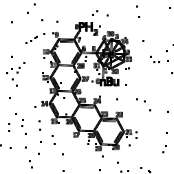 CCCC[C]12[CH]3[CH]4[CH]5[C]1(c1c(P)ccc6cc7ccc8cc9ccccc9cc8c7cc16)[Fe]43521678[CH]2[CH]1[CH]6[CH]7[CH]28